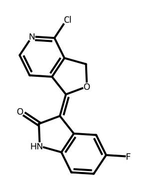 O=C1Nc2ccc(F)cc2/C1=C1\OCc2c1ccnc2Cl